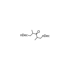 CCCCCCCCCCCC(C)C(=O)C(C)CCCCCCCCCCC